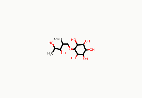 CC(=O)NC(COC1C(O)C(O)C(O)C(O)C1O)C(O)C(C)O